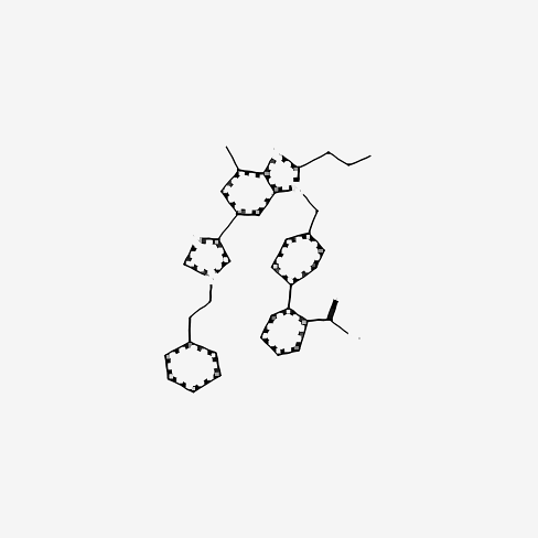 CCCc1nc2c(C)cc(-c3cn(CCc4ccccc4)cn3)cc2n1Cc1ccc(-c2ccccc2C(=O)O)cc1